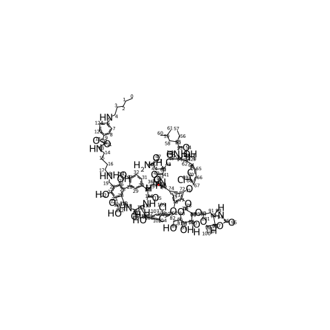 CCCCCNc1ccc(S(=O)(=O)NCCCCNCc2c(O)cc3c(c2O)-c2cc(ccc2O)[C@H]2CC(=O)[C@@H]4NC(=O)[C@H](CC(N)=O)CC(=O)[C@H](NC(=O)[C@H](CC)CC(C)C)[C@H](O)c5ccc(c(Cl)c5)Oc5cc4cc(c5O[C@@H]4O[C@H](CO)[C@@H](O)[C@H](O)[C@H]4O[C@H]4C[C@]5(C)NC(=O)O[C@@H]5[C@H](C)O4)Oc4ccc(cc4Cl)[C@@H](O)[C@H](NC2=O)C(=O)N[C@@H]3C(=O)O)cc1